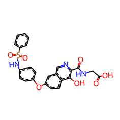 O=C(O)CNC(=O)c1ncc2cc(Oc3ccc(NS(=O)(=O)c4ccccc4)cc3)ccc2c1O